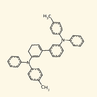 Cc1ccc(N(C2=CC(c3cccc(N(c4ccccc4)c4ccc(C)cc4)c3)=CCC2)c2ccccc2)cc1